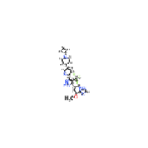 COc1cc(-c2[nH]nc(-c3ccc(C4CCN(C5CCC5)CC4)cn3)c2C(F)(F)F)cn2ncnc12